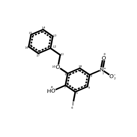 O=[N+]([O-])c1cc(I)c(O)c(OCc2ccccc2)c1